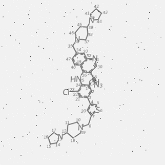 Cc1cc(-c2csc(CN3CCC(N4CCCC4)CC3)c2)cc(Cl)c1Nc1c(C#N)cnc2cc(CN3CCC(N4CCCC4)CC3)ccc12